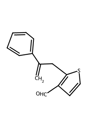 C=C(Cc1sccc1C=O)c1ccccc1